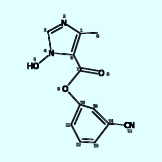 Cc1ncn(O)c1C(=O)Oc1cccc(C#N)c1